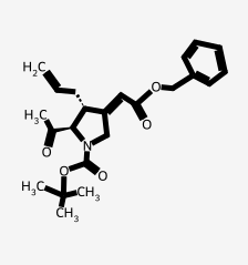 C=CC[C@@H]1/C(=C/C(=O)OCc2ccccc2)CN(C(=O)OC(C)(C)C)[C@H]1C(C)=O